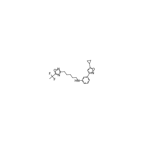 CC(F)(F)c1nc(CCCCCNc2cccc(-c3cc(C4CC4)on3)c2)no1